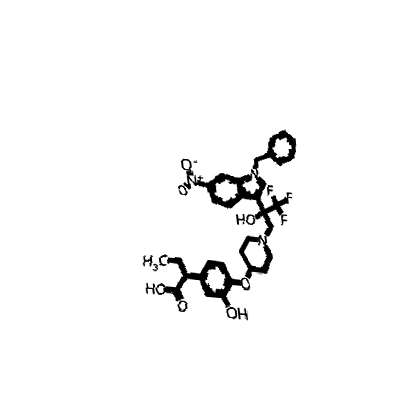 CCC(C(=O)O)c1ccc(OC2CCN(CC(O)(c3cn(Cc4ccccc4)c4cc([N+](=O)[O-])ccc34)C(F)(F)F)CC2)c(O)c1